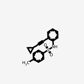 Cc1ccc(S(=O)(=O)Nc2ccccc2C#CC2CC2)cc1